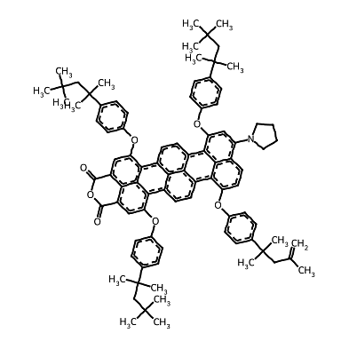 C=C(C)CC(C)(C)c1ccc(Oc2ccc3c(N4CCCC4)cc(Oc4ccc(C(C)(C)CC(C)(C)C)cc4)c4c5ccc6c7c(Oc8ccc(C(C)(C)CC(C)(C)C)cc8)cc8c9c(cc(Oc%10ccc(C(C)(C)CC(C)(C)C)cc%10)c(c%10ccc(c2c34)c5c%106)c97)C(=O)OC8=O)cc1